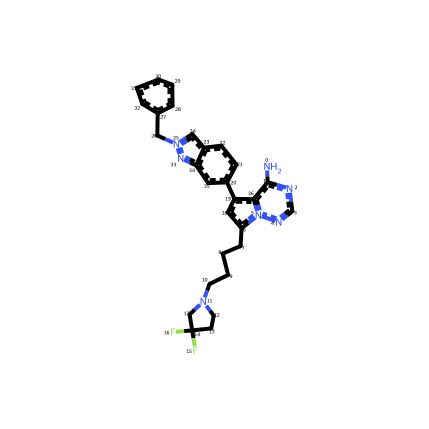 Nc1ncnn2c(CCCCN3CCC(F)(F)C3)cc(-c3ccc4cn(Cc5ccccc5)nc4c3)c12